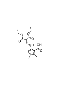 CCOC(=O)C(=CNc1sc(C)c(C)c1C(=O)O)C(=O)OCC